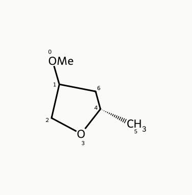 COC1CO[C@@H](C)C1